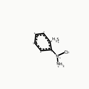 NN(Cl)c1ccccc1.S